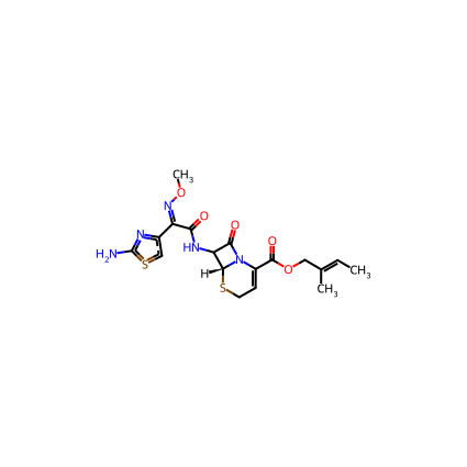 C/C=C(\C)COC(=O)C1=CCS[C@@H]2C(NC(=O)/C(=N\OC)c3csc(N)n3)C(=O)N12